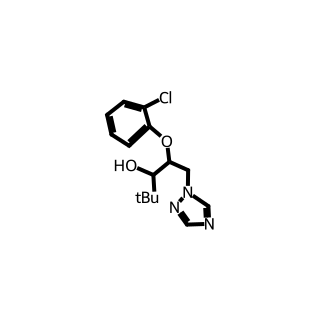 CC(C)(C)C(O)C(Cn1cncn1)Oc1ccccc1Cl